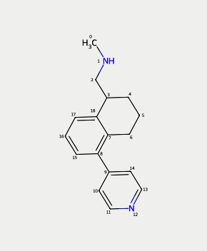 CNCC1CCCc2c(-c3ccncc3)cccc21